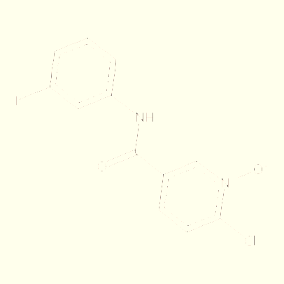 O=C(Nc1cccc(I)c1)c1ccc(Cl)[n+]([O-])c1